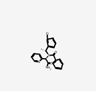 C[C@H](c1cccc(Cl)c1)N(C(=O)c1ccccc1)[C@@H](C(N)=O)c1ccccn1